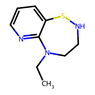 CCN1CCNSc2cccnc21